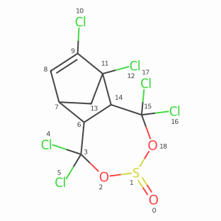 O=S1OC(Cl)(Cl)C2C3C=C(Cl)C(Cl)(C3)C2C(Cl)(Cl)O1